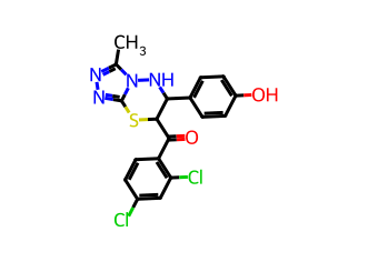 Cc1nnc2n1NC(c1ccc(O)cc1)C(C(=O)c1ccc(Cl)cc1Cl)S2